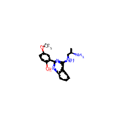 CC(N)CNc1nc(-c2cc(OC(F)(F)F)ccc2O)nc2ccccc12